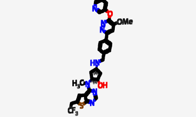 COc1cc(-c2ccc(CN[C@H]3C[C@@H](O)[C@@H](N(C)c4ncnc5sc(CC(F)(F)F)cc45)C3)cc2)nnc1Oc1cccnc1